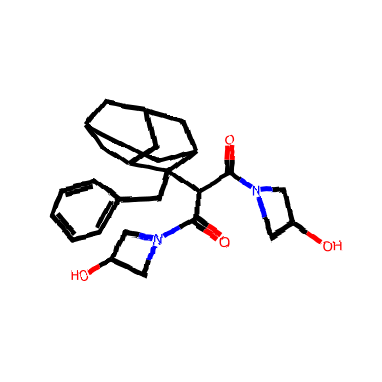 O=C(C(C(=O)N1CC(O)C1)C1(Cc2ccccc2)C2CC3CC(C2)CC1C3)N1CC(O)C1